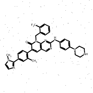 Cc1cc(-c2nccn2C)ccc1-c1cc2cnc(Nc3ccc(N4CCNCC4)cc3)nc2n(Cc2ccccc2C(F)(F)F)c1=O